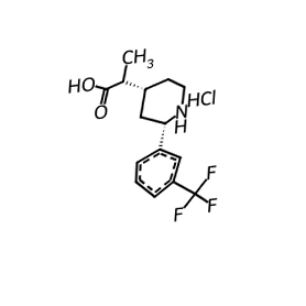 CC(C(=O)O)[C@@H]1CCN[C@H](c2cccc(C(F)(F)F)c2)C1.Cl